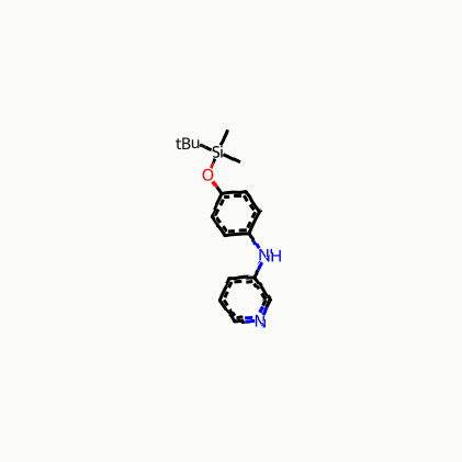 CC(C)(C)[Si](C)(C)Oc1ccc(Nc2cccnc2)cc1